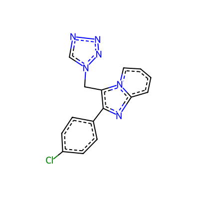 Clc1ccc(-c2nc3ccccn3c2Cn2cnnn2)cc1